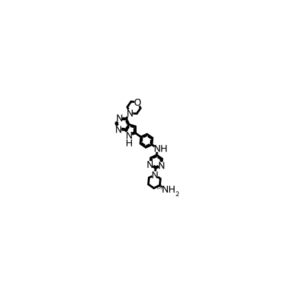 N[C@H]1CCCN(c2ncc(Nc3ccc(-c4cc5c(N6CCOCC6)ncnc5[nH]4)cc3)cn2)C1